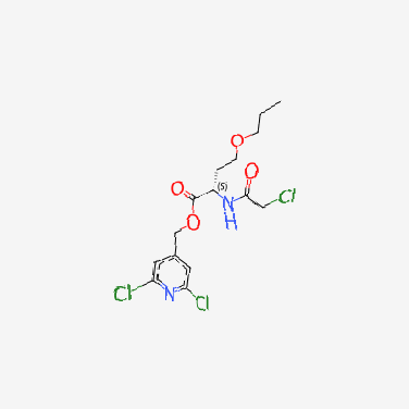 CCCOCC[C@H](NC(=O)CCl)C(=O)OCc1cc(Cl)nc(Cl)c1